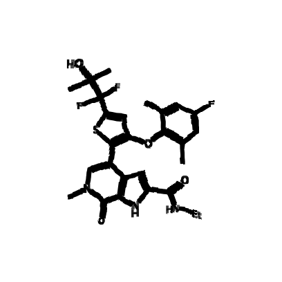 CCNC(=O)c1cc2c(-c3sc(C(F)(F)C(C)(C)O)cc3Oc3c(C)cc(F)cc3C)cn(C)c(=O)c2[nH]1